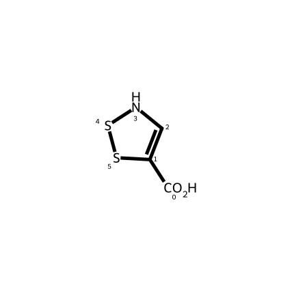 O=C(O)C1=CNSS1